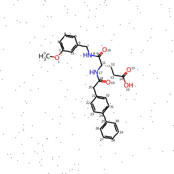 COc1cccc(CNC(=O)[C@H](CCC(=O)O)NC(=O)Cc2ccc(-c3ccccc3)cc2)c1